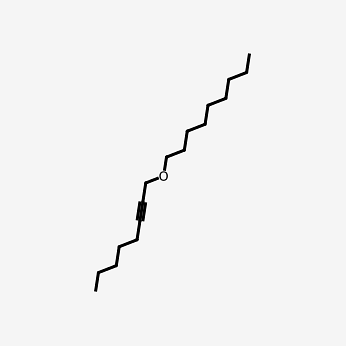 CCCCCC#CCOCCCCCCCCC